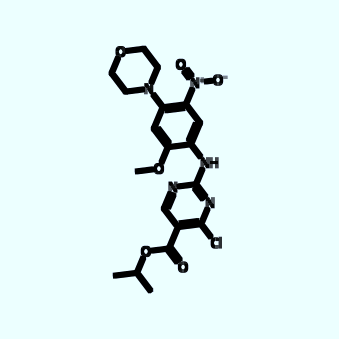 COc1cc(N2CCOCC2)c([N+](=O)[O-])cc1Nc1ncc(C(=O)OC(C)C)c(Cl)n1